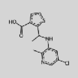 Cc1ncc(Cl)cc1NC(C)c1sccc1C(=O)O